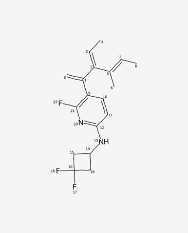 C=C(C(=C/C)/C(C)=C/C)c1ccc(NC2CC(F)(F)C2)nc1F